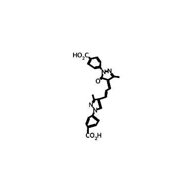 CC1=NN(c2ccc(C(=O)O)cc2)C(=O)C1=CC=Cc1cn(-c2ccc(C(=O)O)cc2)nc1C